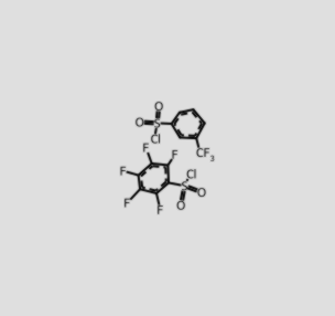 O=S(=O)(Cl)c1c(F)c(F)c(F)c(F)c1F.O=S(=O)(Cl)c1cccc(C(F)(F)F)c1